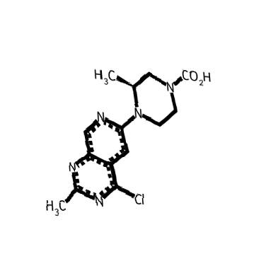 Cc1nc(Cl)c2cc(N3CCN(C(=O)O)C[C@@H]3C)ncc2n1